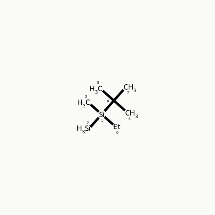 CC[Si](C)([SiH3])C(C)(C)C